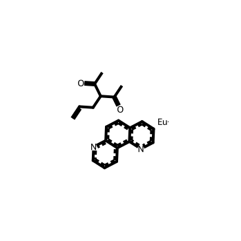 C=CCC(C(C)=O)C(C)=O.[Eu].c1cnc2c(c1)ccc1ncccc12